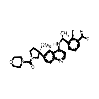 CO[C@@]1(c2ccc3nccc(N[C@H](C)c4cccc(C(F)F)c4F)c3c2)CCN(C(=O)N2CCOCC2)C1